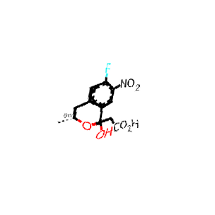 C[C@@H]1Cc2cc(F)c([N+](=O)[O-])cc2C(O)(CC(=O)O)O1